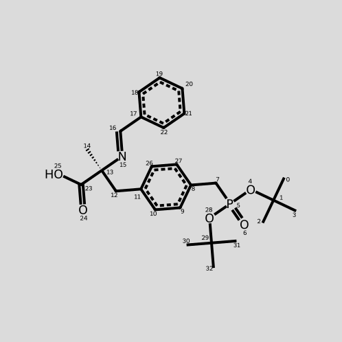 CC(C)(C)OP(=O)(Cc1ccc(C[C@](C)(N=Cc2ccccc2)C(=O)O)cc1)OC(C)(C)C